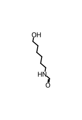 O=CNCCCCCCO